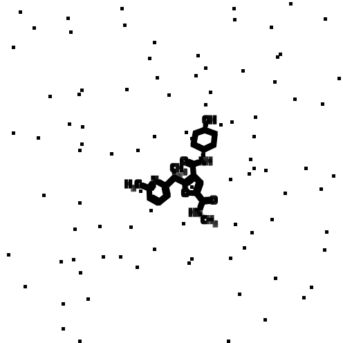 CNC(=O)c1cc(C(=O)N[C@H]2CC[C@H](O)CC2)c([C@@H](C)c2cccc(C)n2)o1